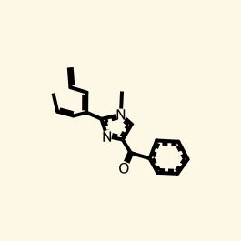 C=C/C=C(\C=C/C)c1nc(C(=O)c2ccccc2)cn1C